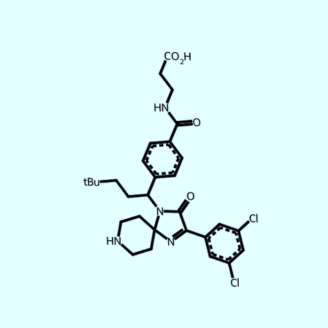 CC(C)(C)CCC(c1ccc(C(=O)NCCC(=O)O)cc1)N1C(=O)C(c2cc(Cl)cc(Cl)c2)=NC12CCNCC2